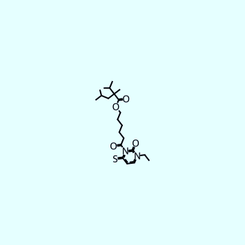 CCn1ccc(=S)n(C(=O)CCCCCOC(=O)C(C)(CC(C)C)C(C)C)c1=O